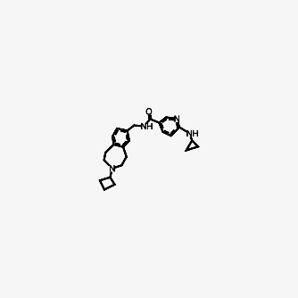 O=C(NCc1ccc2c(c1)CCN(C1CCC1)CC2)c1ccc(NC2CC2)nc1